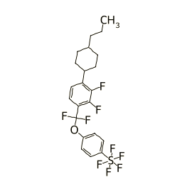 CCCC1CCC(c2ccc(C(F)(F)Oc3ccc(S(F)(F)(F)(F)F)cc3)c(F)c2F)CC1